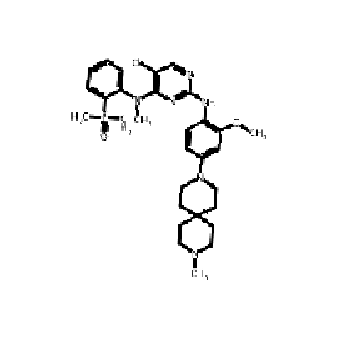 COc1cc(N2CCC3(CCN(C)CC3)CC2)ccc1Nc1ncc(Cl)c(N(C)c2ccccc2P(C)(C)=O)n1